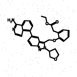 CCOC(=O)Cc1ccccc1OCc1c2cc(-c3cccc4c(N)nccc34)ccc2nn1C1CCOC1